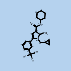 CC1C(C(=O)NC2CCCCC2)C=C(c2cccc(C(F)(F)F)c2)N1CC1CC1